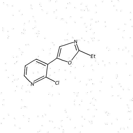 CCc1ncc(-c2cccnc2Cl)o1